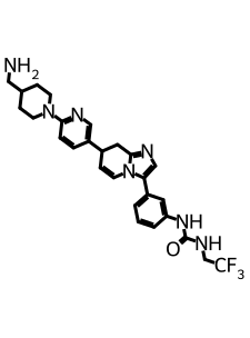 NCC1CCN(c2ccc(C3C=Cn4c(-c5cccc(NC(=O)NCC(F)(F)F)c5)cnc4C3)cn2)CC1